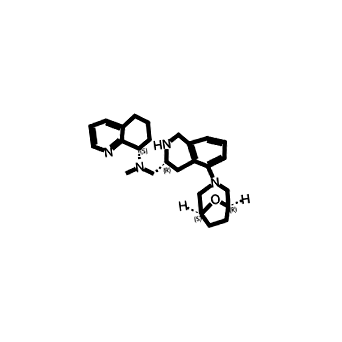 CN(C[C@H]1Cc2c(cccc2N2C[C@H]3CC[C@@H](C2)O3)CN1)[C@H]1CCCc2cccnc21